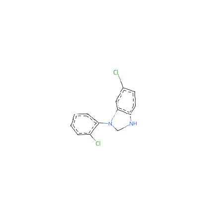 Clc1ccc2c(c1)N(c1ccccc1Cl)[CH]N2